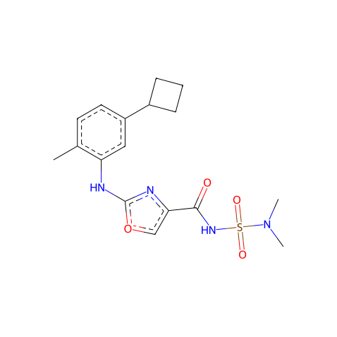 Cc1ccc(C2CCC2)cc1Nc1nc(C(=O)NS(=O)(=O)N(C)C)co1